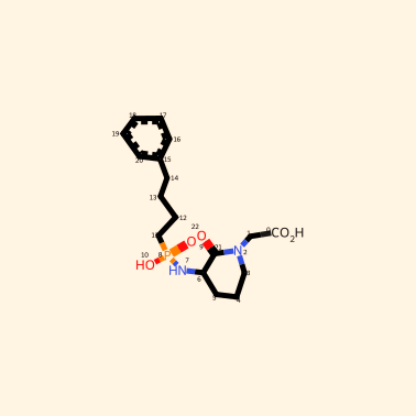 O=C(O)CN1CCCC(NP(=O)(O)CCCCc2ccccc2)C1=O